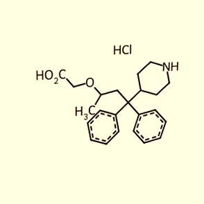 CC(CC(c1ccccc1)(c1ccccc1)C1CCNCC1)OCC(=O)O.Cl